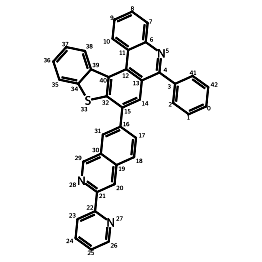 c1ccc(-c2nc3ccccc3c3c2cc(-c2ccc4cc(-c5ccccn5)ncc4c2)c2sc4ccccc4c23)cc1